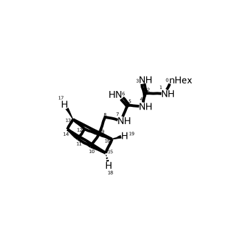 CCCCCCNC(=N)NC(=N)NCC12C3C4C1[C@H]1C4[C@@H]3[C@H]12